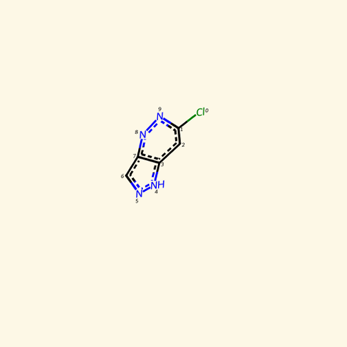 Clc1cc2[nH]ncc2nn1